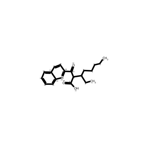 CCCCCC(CC)C(C(=O)O)C(=O)c1ccc2ccccc2n1